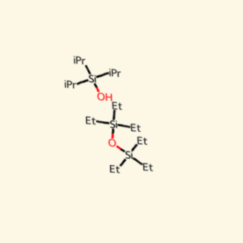 CC(C)[Si](O)(C(C)C)C(C)C.CC[Si](CC)(CC)O[Si](CC)(CC)CC